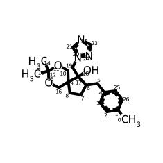 Cc1ccc(CC2CCC3(COC(C)(C)OC3)C2(O)Cn2cncn2)cc1